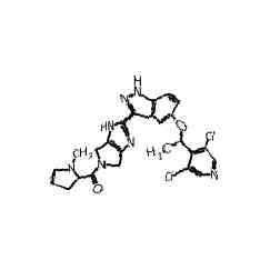 C[C@@H](Oc1ccc2[nH]nc(-c3nc4c([nH]3)CN(C(=O)C3CCCN3C)C4)c2c1)c1c(Cl)cncc1Cl